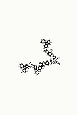 COc1cc(CCC[Si](C)(C)O[Si](C)(C)CCCc2ccc(OC(=O)Oc3ccc(C4(c5ccc(OC(=O)Oc6ccc(C7(c8ccccc8)CCCCC7)cc6)cc5)CCCCC4)cc3)c(OC)c2)ccc1OC(=O)Oc1ccc(C2(c3ccccc3)CCCCC2)cc1